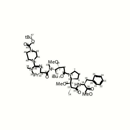 CC[C@H](C)[C@@H]([C@@H](CC(=O)N1CCC[C@H]1[C@H](OC)[C@@H](C)C(=O)N[C@@H](Cc1ccccc1)C(=O)OC)OC)N(C)C(=O)[C@@H](/N=C(\N(C)C)N1CCN(C(=O)OC(C)(C)C)CC1)C(C)C